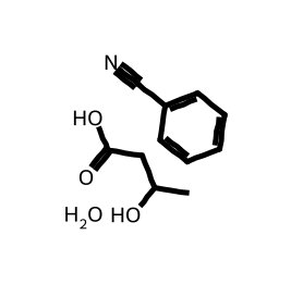 CC(O)CC(=O)O.N#Cc1ccccc1.O